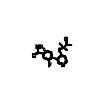 CC(=O)C(C)(C)Sc1ccncc1-c1ccc(C(N)=O)cc1F